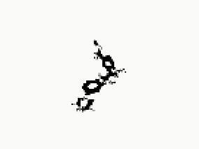 COC(=O)c1ccc2[nH]nc(-c3nc4ccc(N5C[C@@H](C)N[C@@H](C)C5)cc4[nH]3)c2c1